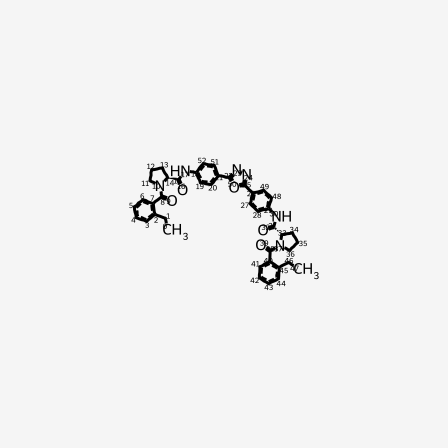 CCc1ccccc1C(=O)N1CCC[C@H]1C(=O)Nc1ccc(-c2nnc(-c3ccc(NC(=O)[C@@H]4CCCN4C(=O)c4ccccc4CC)cc3)o2)cc1